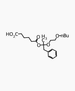 CCCCOCCOC(C)(Cc1ccccc1)OC(=O)CCCCC(=O)O